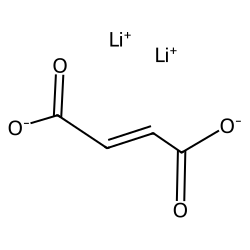 O=C([O-])C=CC(=O)[O-].[Li+].[Li+]